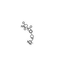 Cc1ncncc1CN1CCC(c2ccc3c(c2)CN(C2CCC(=O)NC2=O)C3=O)CC1